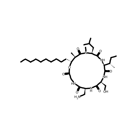 CCCCCCCCCC[C@H]1OC(=O)CNC(=O)[C@H](CN)NC(=O)[C@H](CO)NC(=O)[C@H]([C@@H](C)CC)NC(=O)[C@H](CC(C)C)N(C)C(=O)[C@@H]1C